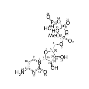 COP(=O)(OC[C@H]1O[C@@H](n2ccc(N)nc2=O)[C@H](O)[C@@H]1O)OP(=O)(O)O[PH](=O)O